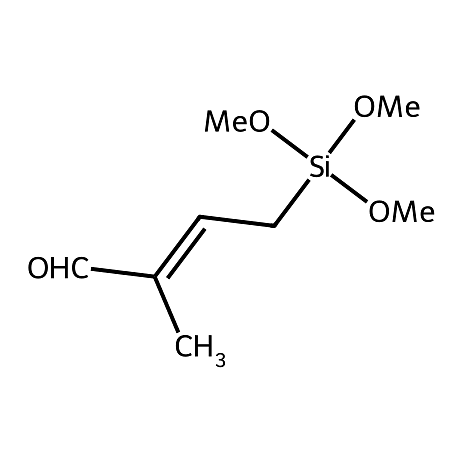 CO[Si](CC=C(C)C=O)(OC)OC